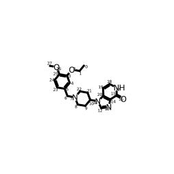 CCOc1cc(CN2CCC(n3cnc4c(=O)[nH]ccc43)CC2)ccc1OC